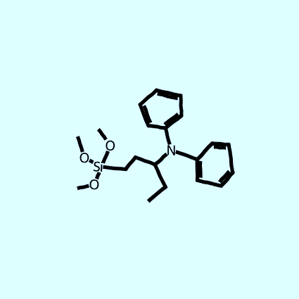 CCC(CC[Si](OC)(OC)OC)N(c1ccccc1)c1ccccc1